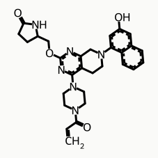 C=CC(=O)N1CCN(c2nc(OCC3CCC(=O)N3)nc3c2CCN(c2cc(O)cc4ccccc24)C3)CC1